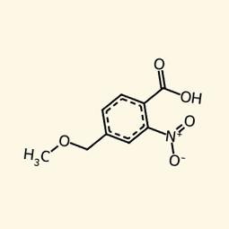 COCc1ccc(C(=O)O)c([N+](=O)[O-])c1